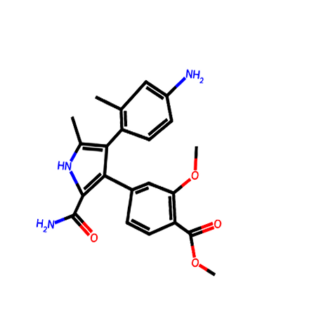 COC(=O)c1ccc(-c2c(C(N)=O)[nH]c(C)c2-c2ccc(N)cc2C)cc1OC